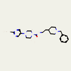 COc1ncc(N2C[C@@H](C)N(C(=O)NCCC3CCN(Cc4ccccc4)CC3)[C@H](C)C2)cn1